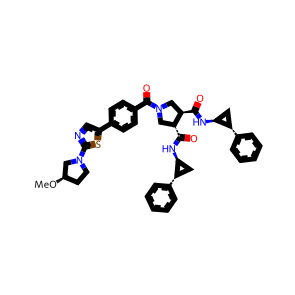 CO[C@@H]1CCN(c2ncc(-c3ccc(C(=O)N4C[C@@H](C(=O)N[C@H]5C[C@@H]5c5ccccc5)[C@H](C(=O)N[C@H]5C[C@@H]5c5ccccc5)C4)cc3)s2)C1